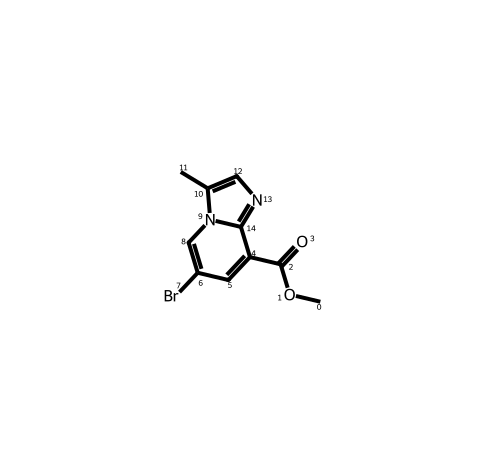 COC(=O)c1cc(Br)cn2c(C)cnc12